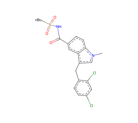 CCCCS(=O)(=O)NC(=O)c1ccc2c(c1)c(Cc1ccc(Cl)cc1Cl)cn2C